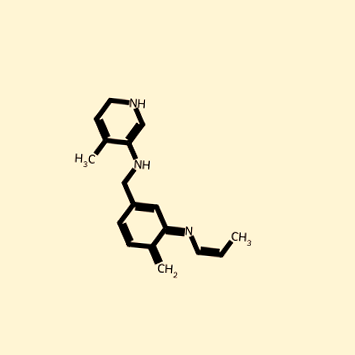 C=C1C=CC(CNC2=CNCC=C2C)=C/C1=N/C=C\C